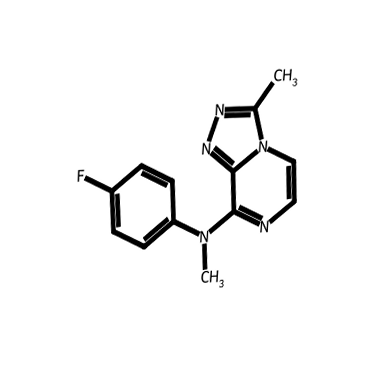 Cc1nnc2c(N(C)c3ccc(F)cc3)nccn12